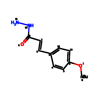 CCCCOc1ccc(/C=C/C(=O)NN)cc1